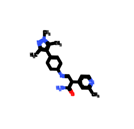 Cc1cc(C(C=NC2CC=C(c3c(C)nn(C)c3C)CC2)C(N)=O)ccn1